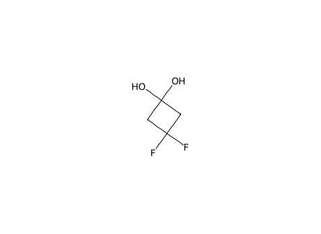 OC1(O)CC(F)(F)C1